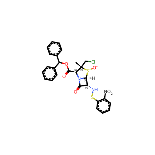 C[C@]1(CCl)[C@H](C(=O)OC(c2ccccc2)c2ccccc2)N2C(=O)[C@@H](NSc3ccccc3[N+](=O)[O-])[C@@H]2[S+]1[O-]